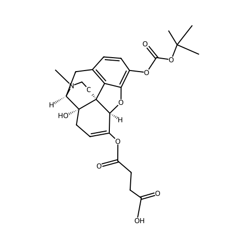 CN1CC[C@]23c4c5ccc(OC(=O)OC(C)(C)C)c4O[C@H]2C(OC(=O)CCC(=O)O)=CC[C@@]3(O)[C@H]1C5